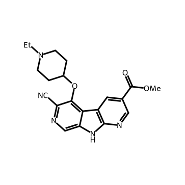 CCN1CCC(Oc2c(C#N)ncc3[nH]c4ncc(C(=O)OC)cc4c23)CC1